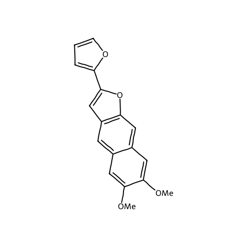 COc1cc2cc3cc(-c4ccco4)oc3cc2cc1OC